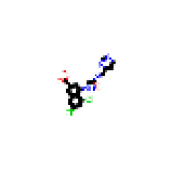 COC(=O)c1cc(NCC(=O)NCc2ccncn2)c2c(Cl)cc(Cl)cc2c1